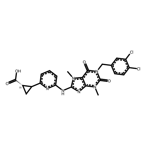 Cn1c(Nc2cccc(C3C[C@@H]3C(=O)O)n2)nc2c1c(=O)n(Cc1ccc(Cl)c(Cl)c1)c(=O)n2C